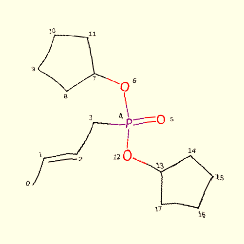 C/C=C/CP(=O)(OC1CCCC1)OC1CCCC1